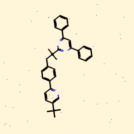 CC(C)(C)c1ccc(-c2ccc(CC(C)(C)c3nc(-c4ccccc4)cc(-c4ccccc4)n3)cc2)nc1